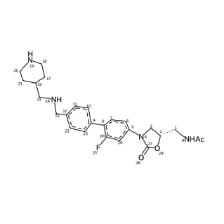 CC(=O)NC[C@H]1CN(c2ccc(-c3ccc(CNCC4CCNCC4)cc3)c(F)c2)C(=O)O1